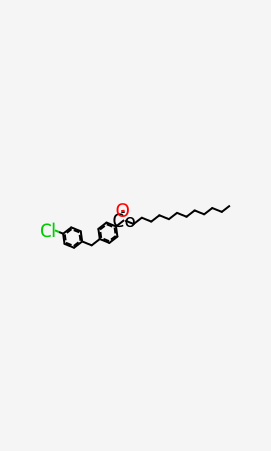 CCCCCCCCCCC[CH2][Co](=[O])[c]1ccc(Cc2ccc(Cl)cc2)cc1